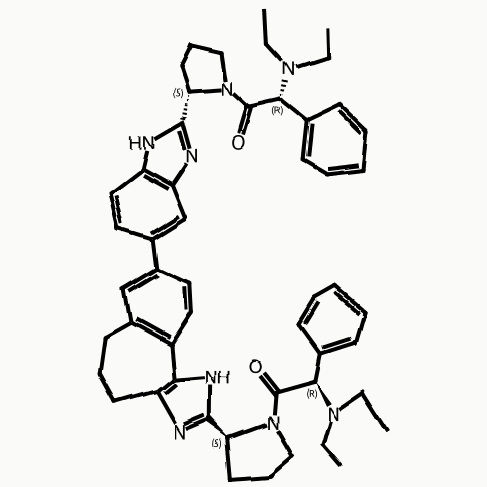 CCN(CC)[C@@H](C(=O)N1CCC[C@H]1c1nc2c([nH]1)-c1ccc(-c3ccc4[nH]c([C@@H]5CCCN5C(=O)[C@@H](c5ccccc5)N(CC)CC)nc4c3)cc1CCC2)c1ccccc1